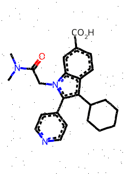 CN(C)C(=O)Cn1c(-c2ccncc2)c(C2CCCCC2)c2ccc(C(=O)O)cc21